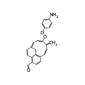 C=C1/C=C\c2ccc(C=O)c3c2C/C(=C\C=C/1OOc1ccc(N)cc1)C=C3